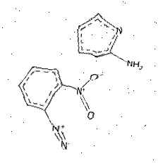 N#[N+]c1ccccc1[N+](=O)[O-].Nc1ccccn1